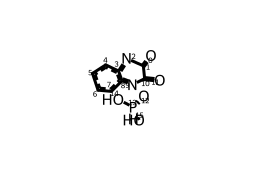 O=C1N=c2ccccc2=NC1=O.O=[PH](O)O